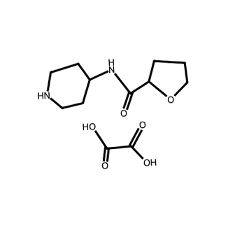 O=C(NC1CCNCC1)C1CCCO1.O=C(O)C(=O)O